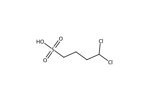 O=S(=O)(O)CCCC(Cl)Cl